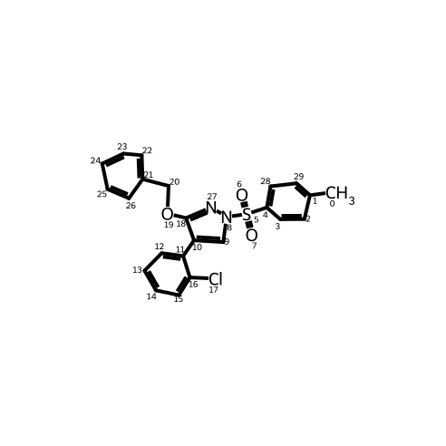 Cc1ccc(S(=O)(=O)n2cc(-c3ccccc3Cl)c(OCc3ccccc3)n2)cc1